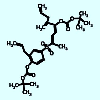 C=CCC(=C)/C(=C\C=C(/C)S(=O)(=O)c1ccc(OC(=O)OC(C)(C)C)c(CC=C)c1)OC(=O)OC(C)(C)C